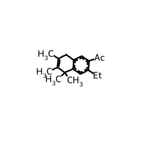 CCc1cc2c(cc1C(C)=O)CC(C)=C(C)C2(C)C